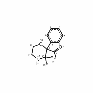 CC(=O)C1(c2ccccc2)OCCNC1(F)F